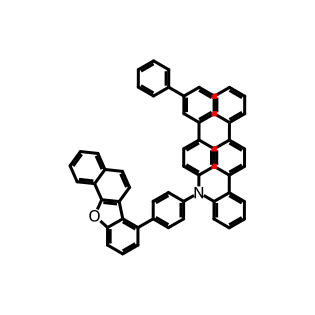 c1ccc(-c2ccc(-c3ccccc3N(c3ccc(-c4cccc(-c5ccccc5)c4)cc3)c3ccc(-c4cccc5oc6c7ccccc7ccc6c45)cc3)cc2)cc1